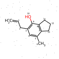 C=CCc1cc(C)c2c(c1O)CCC2